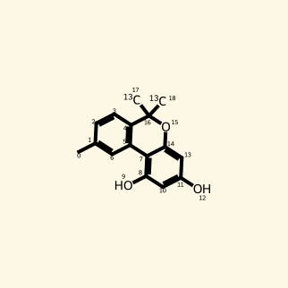 Cc1ccc2c(c1)-c1c(O)cc(O)cc1OC2([13CH3])[13CH3]